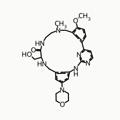 COc1ccc2cc1CN(C)CCNC(=O)C(CO)NCc1cc(cc(N3CCOCC3)c1)Nc1nccc-2n1